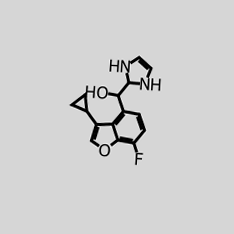 OC(c1ccc(F)c2occ(C3CC3)c12)C1NC=CN1